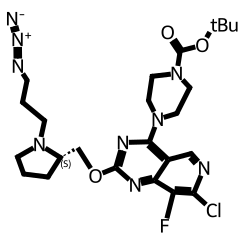 CC(C)(C)OC(=O)N1CCN(c2nc(OC[C@@H]3CCCN3CCCN=[N+]=[N-])nc3c(F)c(Cl)ncc23)CC1